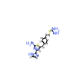 N=C(N)SCCc1ccc(C[C@@H](CCc2ncc[nH]2)SC(=N)N)cc1